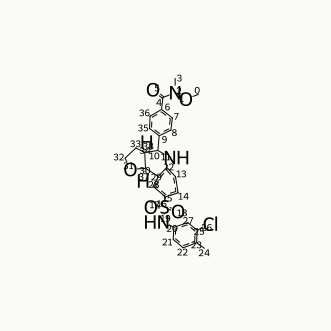 CON(C)C(=O)c1ccc(C2Nc3ccc(S(=O)(=O)Nc4ccc(C)c(Cl)c4)cc3[C@H]3OCC[C@@H]23)cc1